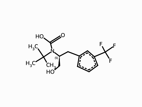 CC(C)(C)N(C(=O)O)[C@H](CO)Cc1cccc(C(F)(F)F)c1